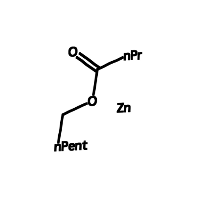 CCCCCCOC(=O)CCC.[Zn]